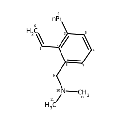 C=Cc1c(CCC)cccc1CN(C)C